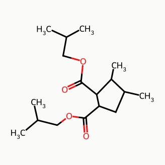 CC(C)COC(=O)C1CC(C)C(C)C1C(=O)OCC(C)C